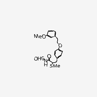 COc1cccc(CCOc2ccc(CC(SC)C(=O)NC=O)cc2)c1